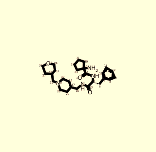 NC1(C(=O)N[C@H](Cc2ccccc2)C(=O)NCC2CCN(CC3CCOCC3)CC2)CCCC1